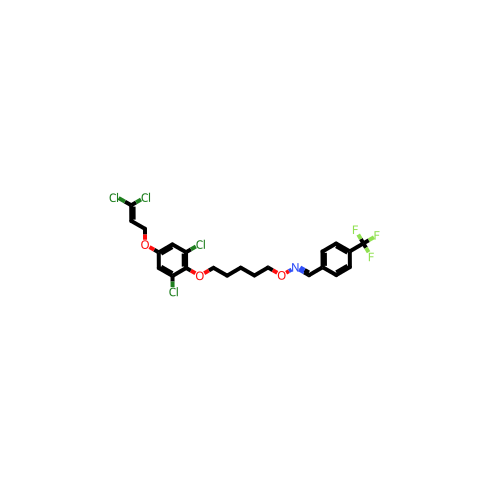 FC(F)(F)c1ccc(/C=N/OCCCCCOc2c(Cl)cc(OCC=C(Cl)Cl)cc2Cl)cc1